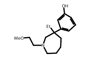 CCC1(c2cccc(O)c2)CCCCN(CCOC)C1